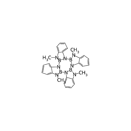 CN1B2N(B3N(C)c4ccccc4N3B3N(C)c4ccccc4N3B3N(C)c4ccccc4N23)c2ccccc21